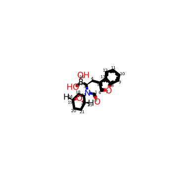 O=CN([C@H](Cc1coc2ccccc12)B(O)O)[C@H]1C[C@H]2CC[C@@H]1O2